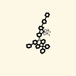 CC1(C)c2cc(-c3ccc(-c4ccccc4)cc3)ccc2-c2ccc(N(c3ccc(-c4ccccc4)cc3)c3cccc4c3-c3ccccc3C4(c3ccccc3)c3ccccc3)cc21